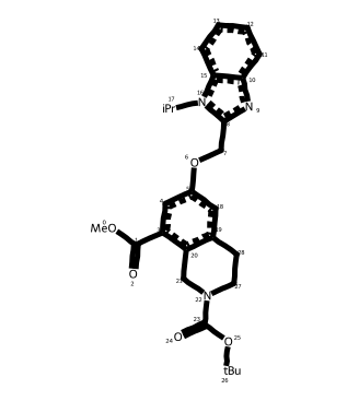 COC(=O)c1cc(OCc2nc3ccccc3n2C(C)C)cc2c1CN(C(=O)OC(C)(C)C)CC2